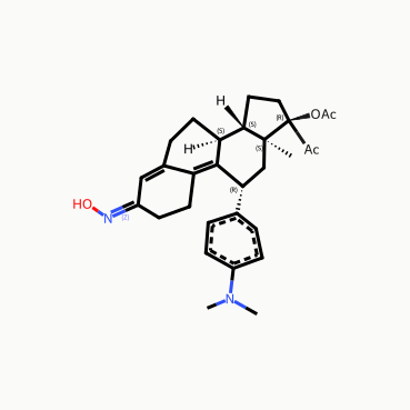 CC(=O)O[C@]1(C(C)=O)CC[C@H]2[C@@H]3CCC4=C/C(=N\O)CCC4=C3[C@@H](c3ccc(N(C)C)cc3)C[C@@]21C